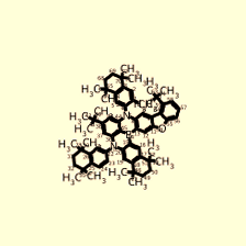 Cc1cc2c(cc1N1c3cc4c(cc3B3c5cc6c(cc5N(c5ccc7c(c5)C(C)(C)CCC7(C)C)c5cc(C(C)(C)C)cc1c53)C(C)(C)CCC6(C)C)oc1cccc(C(C)(C)C)c14)C(C)(C)CCC2(C)C